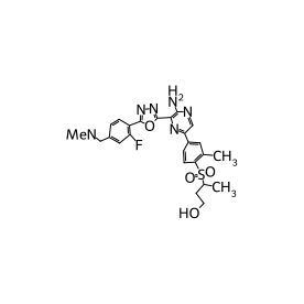 CNCc1ccc(-c2nnc(-c3nc(-c4ccc(S(=O)(=O)C(C)CCO)c(C)c4)cnc3N)o2)c(F)c1